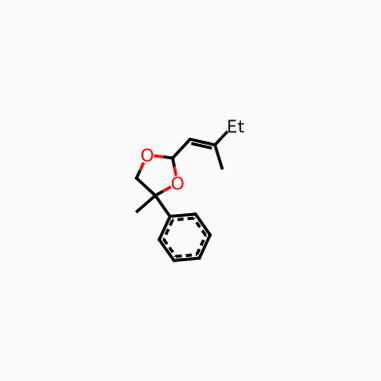 CCC(C)=CC1OCC(C)(c2ccccc2)O1